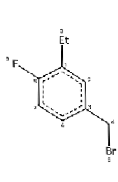 CCc1cc(CBr)ccc1F